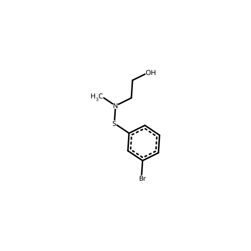 CN(CCO)Sc1cccc(Br)c1